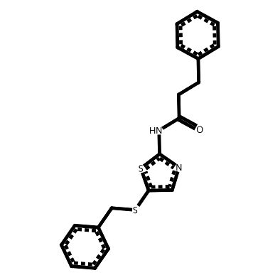 O=C(CCc1ccccc1)Nc1ncc(SCc2ccccc2)s1